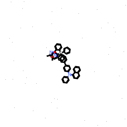 Cc1nc(-c2ccccc2[Si](c2ccccc2)(c2ccccc2)c2ccc(-c3ccc(N(c4ccccc4)c4cccc5ccccc45)cc3)cc2)n(-c2ccccc2)c1C